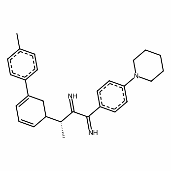 Cc1ccc(C2=CC=CC([C@@H](C)C(=N)C(=N)c3ccc(N4CCCCC4)cc3)C2)cc1